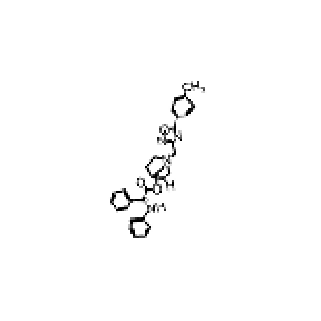 Cc1ccc(-c2nc(C[N+]34CCC(CC3)[C@@H](OC(=O)[C@H](Nc3ccccc3)c3ccccc3)C4)no2)cc1